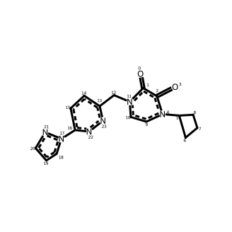 O=c1c(=O)n(C2CCC2)ccn1Cc1ccc(-n2cccn2)nn1